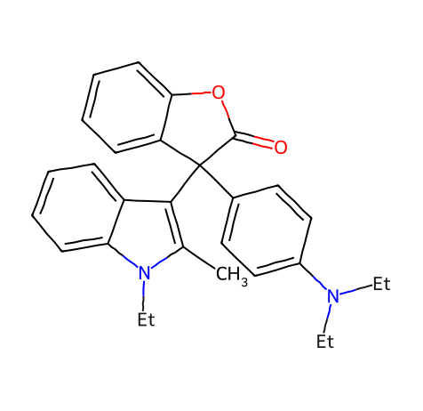 CCN(CC)c1ccc(C2(c3c(C)n(CC)c4ccccc34)C(=O)Oc3ccccc32)cc1